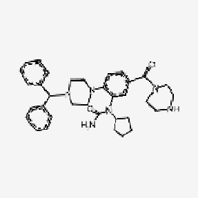 NC(=O)N(c1cc(C(=O)N2CCNCC2)ccc1N1CCN(C(c2ccccc2)c2ccccc2)CC1)C1CCCC1